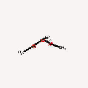 CCCCCCCCCOC(=O)CCCCCCCOCC(CCC)OCCCCCCCC(=O)OCCCCCCCCC